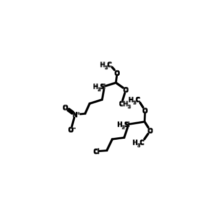 COC(OC)[SiH2]CCCCl.COC(OC)[SiH2]CCC[N+](=O)[O-]